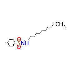 CCCCCCCCCCCCNS(=O)(=O)c1cc[c]cc1